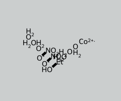 CCO.O.O.O.O.O.O.O=[N+]([O-])[O-].O=[N+]([O-])[O-].[Co+2]